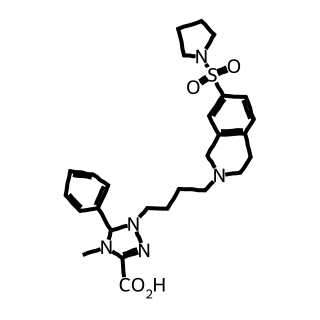 CN1C(C(=O)O)=NN(CCCCN2CCc3ccc(S(=O)(=O)N4CCCC4)cc3C2)C1c1ccccc1